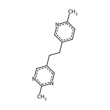 Cc1ccc(CCc2cnc(C)nc2)cn1